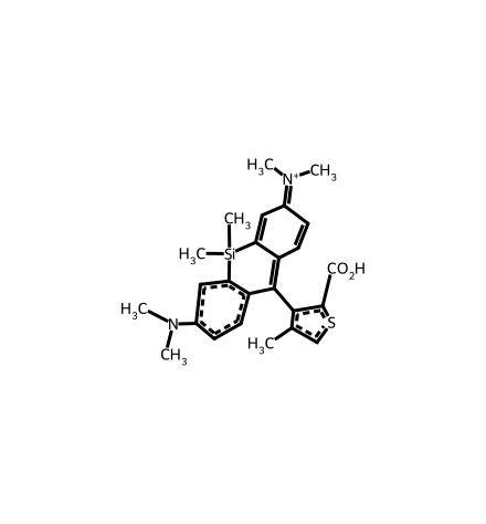 Cc1csc(C(=O)O)c1C1=C2C=CC(=[N+](C)C)C=C2[Si](C)(C)c2cc(N(C)C)ccc21